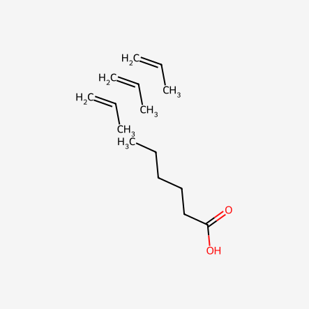 C=CC.C=CC.C=CC.CCCCCC(=O)O